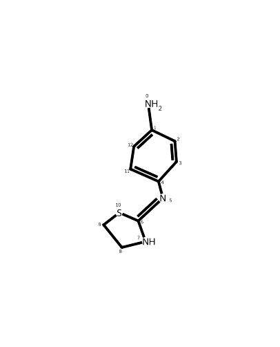 Nc1ccc(N=C2NCCS2)cc1